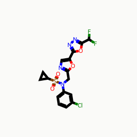 O=S(=O)(C1CC1)N(Cc1ncc(-c2nnc(C(F)F)o2)o1)c1cccc(Cl)c1